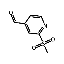 CS(=O)(=O)c1cc(C=O)ccn1